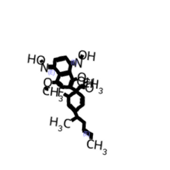 C/C=C/CC(C)C1=CC(F)C(C(=O)O)(c2cc(OC)c3c(c2OC)/C(=N/O)C=C/C3=N\O)C=C1